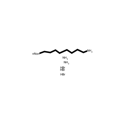 Br.Br.Br.CCCCCCCCCCCCCCCCCN.N.N